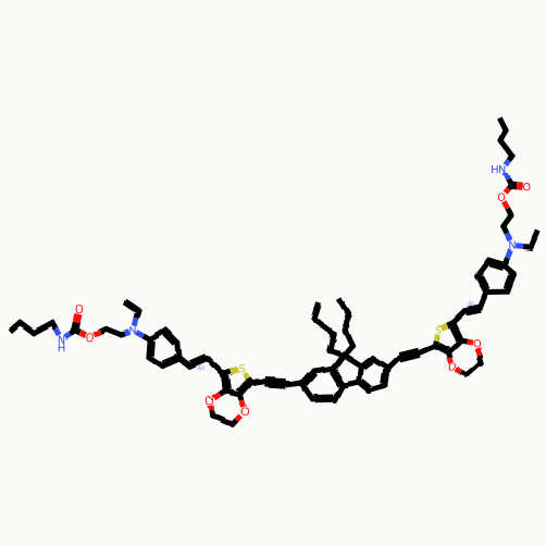 CCCCNC(=O)OCCN(CC)c1ccc(/C=C/c2sc(C#Cc3ccc4c(c3)C(CCCC)(CCCC)c3cc(C#Cc5sc(/C=C/c6ccc(N(CC)CCOC(=O)NCCCC)cc6)c6c5OCCO6)ccc3-4)c3c2OCCO3)cc1